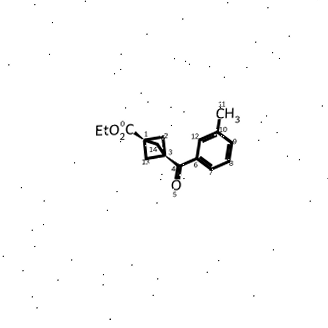 CCOC(=O)[C@]12C[C@](C(=O)c3cccc(C)c3)(C1)C2